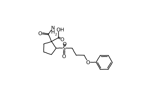 NC(=O)C1(C(=O)O)CCCC1S(=O)(=O)CCCOc1ccccc1